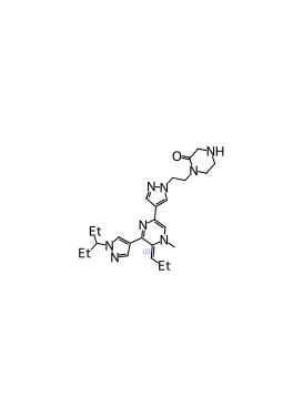 CC/C=C1/C(c2cnn(C(CC)CC)c2)=NC(c2cnn(CCN3CCNCC3=O)c2)=CN1C